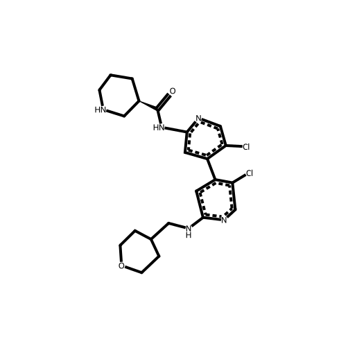 O=C(Nc1cc(-c2cc(NCC3CCOCC3)ncc2Cl)c(Cl)cn1)[C@@H]1CCCNC1